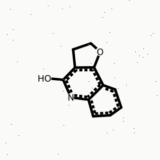 Oc1nc2ccccc2c2c1CCO2